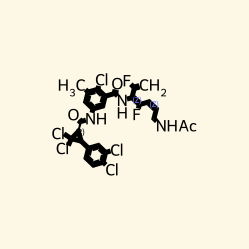 C=C(F)/C(NC(=O)c1cc(NC(=O)[C@H]2C(c3ccc(Cl)c(Cl)c3)C2(Cl)Cl)cc(C)c1Cl)=C(F)\C=C/CNC(C)=O